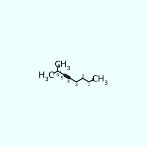 CCCCC#C[C](C)C